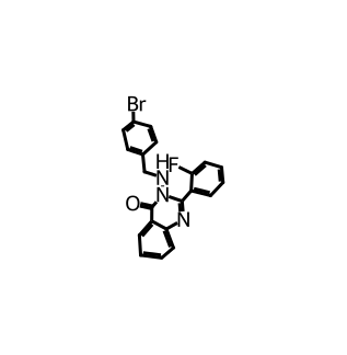 O=c1c2ccccc2nc(-c2ccccc2F)n1NCc1ccc(Br)cc1